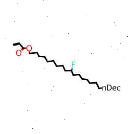 C=CC(=O)OCCCCCCCCCC(F)CCCCCCCCCCCCCCCCC